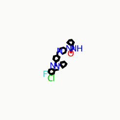 O=c1[nH]c2ccccc2n1C1CCN(Cc2ccc(C3=Nc4cc(F)c(Cl)cc4CN3c3ccccc3)cc2)CC1